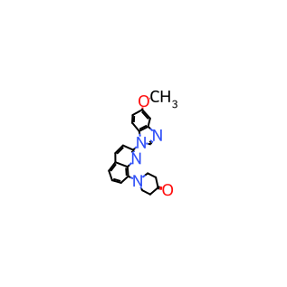 COc1ccc2c(c1)ncn2-c1ccc2cccc(N3CCC(=O)CC3)c2n1